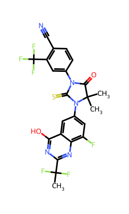 CC(F)(F)c1nc(O)c2cc(N3C(=S)N(c4ccc(C#N)c(C(F)(F)F)c4)C(=O)C3(C)C)cc(F)c2n1